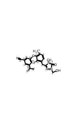 Cc1ccc(Cc2nn(CO)c(=O)n2C)c(F)c1Oc1cc(C#N)cc(C(F)F)c1